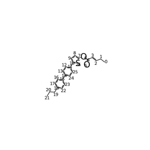 CCC=CC(=O)Oc1ccc(-c2ccc(-c3ccc(CCC)cc3)cc2)s1